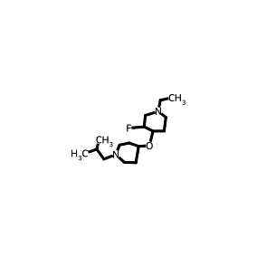 CCN1CCC(OC2CCN(CC(C)C)CC2)C(F)C1